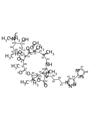 CC[C@H]1OC(=O)[C@H](C)C(=O)[C@H](C)[C@@H](O[C@@H]2O[C@H](C)CC(N(C)C)C2O)[C@](C)(OC)C[C@@H](C)CN[C@H](C)[C@H]2N(CCCCn3cc(-c4nccs4)nn3)C(=O)O[C@]12C